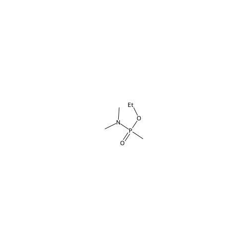 CCOP(C)(=O)N(C)C